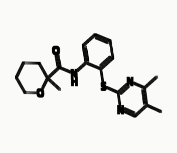 Cc1cnc(Sc2ccccc2NC(=O)C2(C)CCCCO2)nc1C